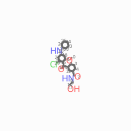 COc1ccc(C(=O)NCCO)cc1C(=O)c1ccc(Nc2ccccc2)cc1Cl